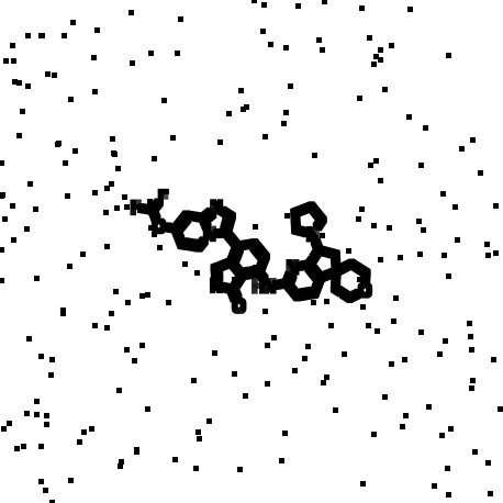 O=C1N=Cc2c(-c3cnc4cc(OC(F)F)ccn34)ccc(Nc3ccc4c(n3)C(N3CCCC3)CC43CCOCC3)c21